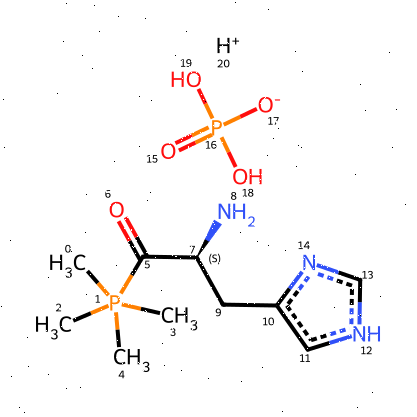 CP(C)(C)(C)C(=O)[C@@H](N)Cc1c[nH]cn1.O=P([O-])(O)O.[H+]